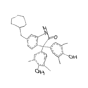 Cc1cc(C2(c3cc(C)c(O)c(C)c3)C(=O)Nc3cc(CC4CCCCC4)ccc32)cc(C)c1O